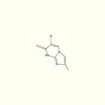 Cc1cn2cc(Br)c(=O)[nH]c2n1